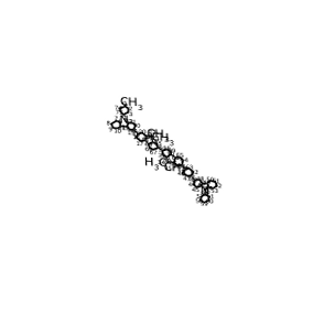 Cc1ccc(-n2c3ccccc3c3cc(-c4ccc5c(c4)C(C)(C)c4cc(-c6ccc7c(c6)C(C)(C)c6cc(-c8ccc(-c9ccc%10c(c9)c9ccccc9n%10-c9ccccc9)cc8)ccc6-7)ccc4-5)ccc32)cc1